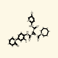 O=C(Nc1ccc(Cl)cn1)[C@@H]1[C@H](C(=O)Nc2ccc(-n3ccccc3=O)cc2F)[C@H]1C(=O)N1CCCCCC1